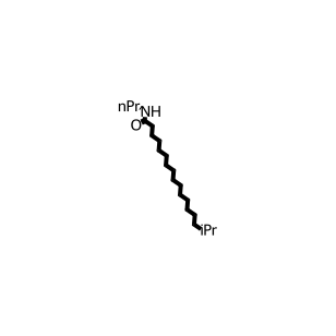 CCCNC(=O)CCCCCCCCCCCCCCC(C)C